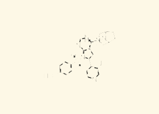 Cc1ccc(S(=O)(=O)n2c(-c3ccncc3F)cc3c(N4CC5CCC(C4)N5C(=O)O)ncnc32)cc1